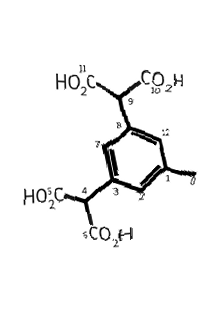 Cc1cc(C(C(=O)O)C(=O)O)cc(C(C(=O)O)C(=O)O)c1